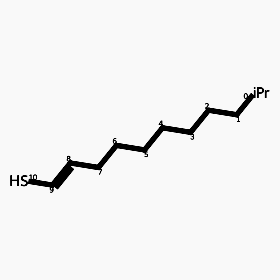 CC(C)CCCCCCCC=CS